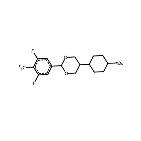 CCCCC1CCC(C2COC(c3cc(F)c(C(F)(F)F)c(F)c3)OC2)CC1